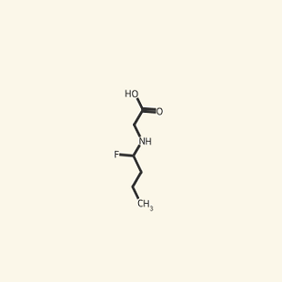 CCCC(F)NCC(=O)O